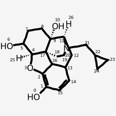 OC1=C2O[C@H]3C(O)CC[C@@]4(O)[C@H]5CC(C=C1)C2[C@@]34CCN5CC1CC1